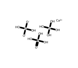 O=P(O)(O)O.O[Si](O)(O)O.[Ca+2].[O-][Si]([O-])(O)O